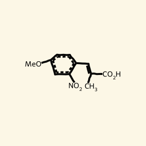 COc1ccc(C=C(C)C(=O)O)c([N+](=O)[O-])c1